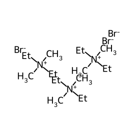 CC[N+](C)(C)CC.CC[N+](C)(C)CC.CC[N+](C)(C)CC.[Br-].[Br-].[Br-]